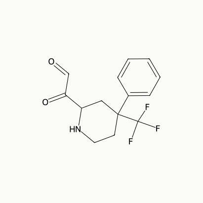 O=CC(=O)C1CC(c2ccccc2)(C(F)(F)F)CCN1